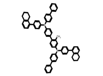 Cc1cc(N(c2ccc(-c3ccccc3)cc2)c2ccc(-c3cccc4c3CCCC4)cc2)ccc1-c1ccc(N(c2ccc(-c3ccccc3)cc2)c2ccc(-c3cccc4c3CCCC4)cc2)cc1